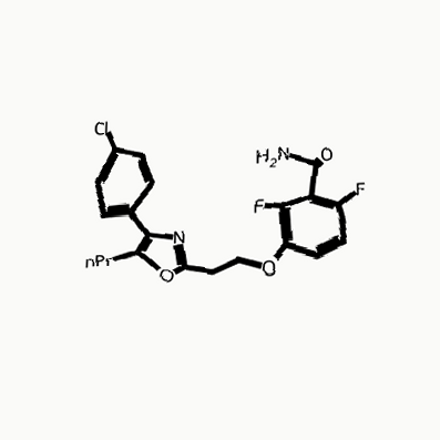 CCCc1oc(CCOc2ccc(F)c(C(N)=O)c2F)nc1-c1ccc(Cl)cc1